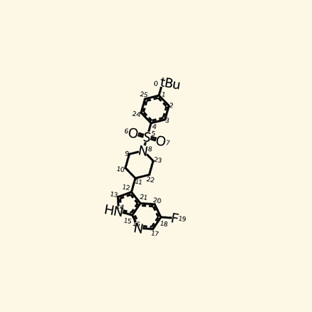 CC(C)(C)c1ccc(S(=O)(=O)N2CCC(c3c[nH]c4ncc(F)cc34)CC2)cc1